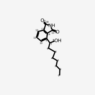 CCCCCCCC(O)c1cccc2c1C(=O)NC2=O